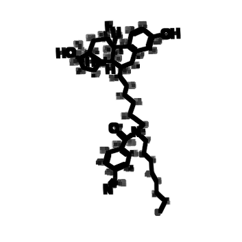 CCCCCCCCN(CCCCCC[C@@H]1Cc2cc(O)ccc2[C@@H]2[C@@H]1[C@@H]1CC[C@H](O)[C@@]1(C)C[C@@H]2F)C(=O)c1ccc(C#N)cc1